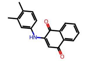 Cc1ccc(NC2=CC(=O)c3ccccc3C2=O)cc1C